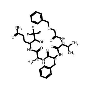 CC(C)[C@H](NC(=O)COCc1ccccc1)C(=O)N[C@@H](Cc1ccccc1)C(=O)N[C@@H](C)C(=O)NC(CCC(N)=O)C(O)C(F)(F)F